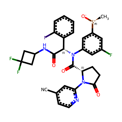 C[S@+]([O-])c1cc(F)cc(N(C(=O)[C@@H]2CCC(=O)N2c2cc(C#N)ccn2)[C@H](C(=O)NC2CC(F)(F)C2)c2ccccc2I)c1